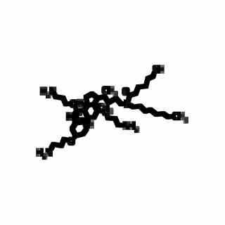 CCCCCCCCN(CCC[C@@H](C)C1CC[C@H]2C3[C@H](OCCCN)CC4C[C@H](OCCCN)CCC4(C)[C@H]3C[C@H](OCCCN)C12C)C(=O)CCCCCS